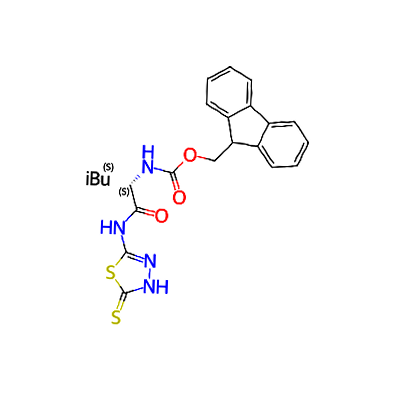 CC[C@H](C)[C@H](NC(=O)OCC1c2ccccc2-c2ccccc21)C(=O)Nc1n[nH]c(=S)s1